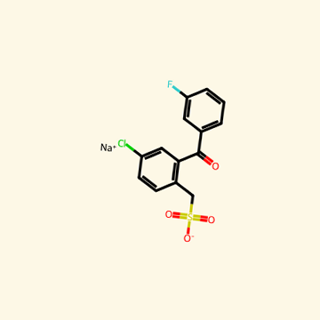 O=C(c1cccc(F)c1)c1cc(Cl)ccc1CS(=O)(=O)[O-].[Na+]